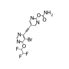 NC(=O)Oc1ncc(C#Cc2ncnc(OC(F)C(F)F)c2Br)cn1